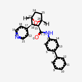 O=C(Nc1ccc(-c2ccccc2)cc1)[C@H]1[C@@H](c2ccncc2)[C@@H]2CC[C@H]1O2